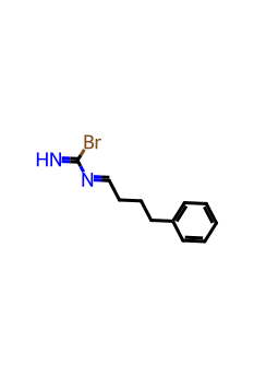 N=C(Br)/N=C/CCCc1ccccc1